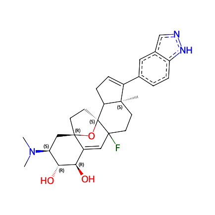 CN(C)[C@H]1C[C@@]23CC[C@]4(O2)C2CC=C(c5ccc6[nH]ncc6c5)[C@@]2(C)CCC4(F)C=C3[C@@H](O)[C@@H]1O